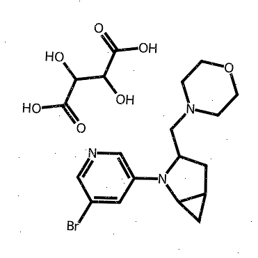 Brc1cncc(N2C(CN3CCOCC3)CC3CC32)c1.O=C(O)C(O)C(O)C(=O)O